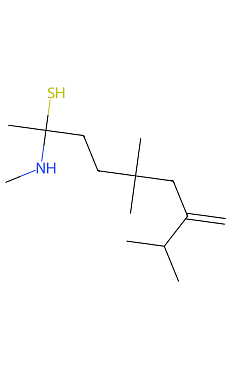 C=C(CC(C)(C)CCC(C)(S)NC)C(C)C